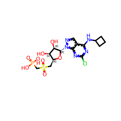 O=P(O)(O)CS(=O)(=O)C[C@@H]1O[C@@H](n2ncc3c(NC4CCC4)nc(Cl)nc32)[C@H](O)[C@@H]1O